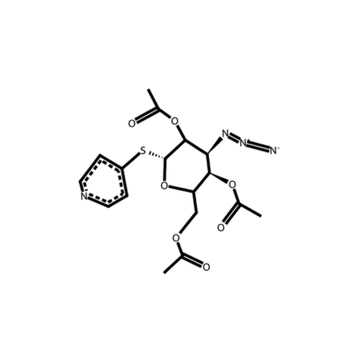 CC(=O)OCC1O[C@H](Sc2ccncc2)C(OC(C)=O)[C@@H](N=[N+]=[N-])[C@H]1OC(C)=O